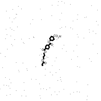 C=CC(=O)OCCCCOC(=O)C1CCC(C(=O)OC2CCC(C(=O)O)CC2)CC1